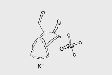 O=CC1=c2ccccc2=NC1=O.[K+].[O]=[Mn](=[O])(=[O])[O-]